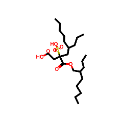 CCCCCC(CCC)COC(=O)C(CC(=O)O)(CC(CCC)CCCCC)S(=O)(=O)O